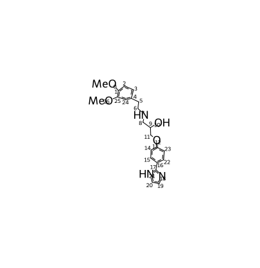 COc1ccc(CCNCC(O)COc2ccc(-c3ncc[nH]3)cc2)cc1OC